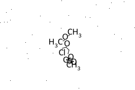 CCOC(C)OC(CCl)CCOS(C)(=O)=O